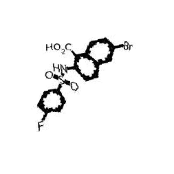 O=C(O)c1c(NS(=O)(=O)c2ccc(F)cc2)ccc2cc(Br)ccc12